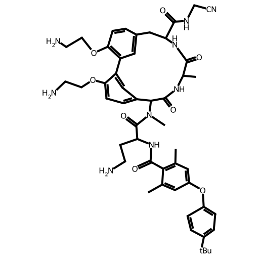 Cc1cc(Oc2ccc(C(C)(C)C)cc2)cc(C)c1C(=O)NC(CCN)C(=O)N(C)C1C(=O)NC(C)C(=O)NC(C(=O)NCC#N)Cc2ccc(OCCN)c(c2)-c2cc1ccc2OCCN